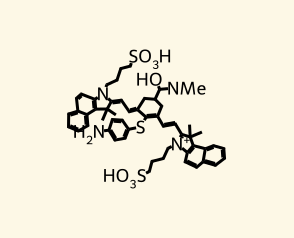 CNC(O)C1CC(/C=C/C2=[N+](CCCCS(=O)(=O)O)c3ccc4ccccc4c3C2(C)C)=C(Sc2ccc(N)cc2)C(=C/C=C2/N(CCCCS(=O)(=O)O)c3ccc4ccccc4c3C2(C)C)/C1